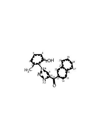 Cc1cccc(O)c1-n1cc(C(=O)c2ccc3ccccc3c2)nn1